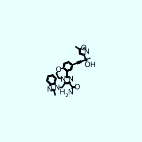 Cc1cc([C@](C)(O)C#Cc2ccc3c(c2)-c2nc(C(N)=O)c(Cn4c(C)nc5ccccc54)n2CCO3)no1